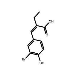 CCC(=Cc1ccc(O)c(Br)c1)C(=O)O